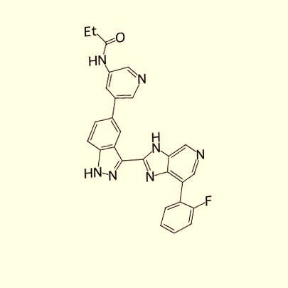 CCC(=O)Nc1cncc(-c2ccc3[nH]nc(-c4nc5c(-c6ccccc6F)cncc5[nH]4)c3c2)c1